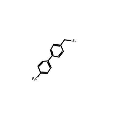 CC(C)(C)Cc1ccc(-c2ccc(C(F)(F)F)cc2)cc1